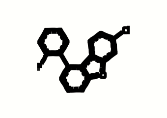 Fc1ccccc1-c1cccc2oc3cc(Cl)ccc3c12